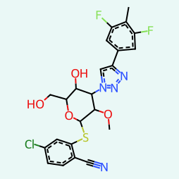 COC1C(Sc2cc(Cl)ccc2C#N)OC(CO)C(O)C1n1cc(-c2cc(F)c(C)c(F)c2)nn1